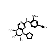 C#Cc1ccc(Nc2ncc3c(n2)N(C2CCCC2)[C@H](CC)C(O)N3C)c(OC)c1